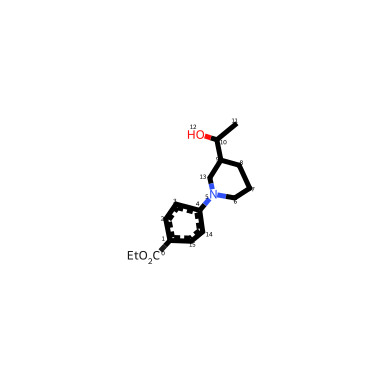 CCOC(=O)c1ccc(N2CCCC(C(C)O)C2)cc1